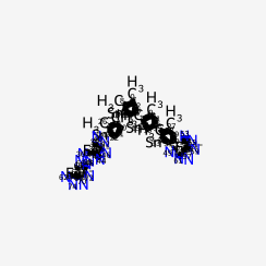 Cc1ccc[c]([Sn+3])c1C.Cc1ccc[c]([Sn+3])c1C.Cc1ccc[c]([Sn+3])c1C.Cc1ccc[c]([Sn+3])c1C.N#[C][Fe-4]([C]#N)([C]#N)([C]#N)([C]#N)[C]#N.N#[C][Fe-4]([C]#N)([C]#N)([C]#N)([C]#N)[C]#N.N#[C][Fe-4]([C]#N)([C]#N)([C]#N)([C]#N)[C]#N